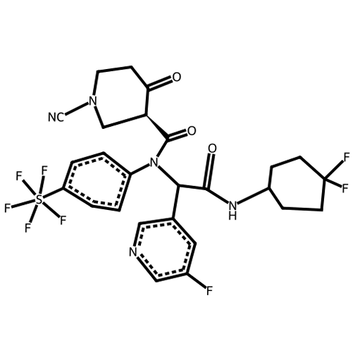 N#CN1CCC(=O)[C@@H](C(=O)N(c2ccc(S(F)(F)(F)(F)F)cc2)C(C(=O)NC2CCC(F)(F)CC2)c2cncc(F)c2)C1